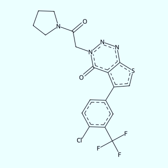 O=C(Cn1nnc2scc(-c3ccc(Cl)c(C(F)(F)F)c3)c2c1=O)N1CCCC1